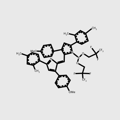 COc1ccc(C2=CC(c3ccc(C)cc3C)=N/C2=C\c2c(-c3ccc(OC)cc3)cc(-c3ccc(C)cc3C)n2B(OCC(F)(F)C(F)(F)F)OCC(F)(F)C(F)(F)F)cc1